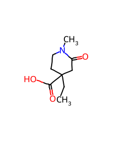 CCC1(C(=O)O)CCN(C)C(=O)C1